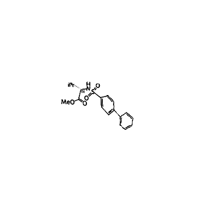 COC(=O)[C@@H](NS(=O)(=O)c1ccc(-c2ccccc2)cc1)C(C)C